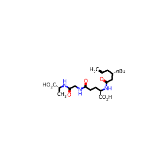 C=CC[C@H](CCCC)CC(=O)N[C@H](CCC(=O)NCC(=O)N[C@H](C)C(=O)O)C(=O)O